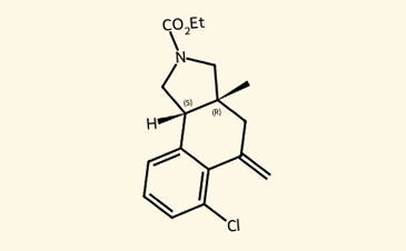 C=C1C[C@@]2(C)CN(C(=O)OCC)C[C@H]2c2cccc(Cl)c21